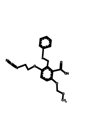 COCOc1ccc(OCCN=[N+]=[N-])c(CSc2ccccc2)c1C(=O)O